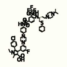 CCn1c(C)c(C(=O)O)c(-c2cc(F)cc(N3CCN(c4ccc(NS(=O)(=O)c5ccc(N[C@H](CCN6CCN(C(C)C)CC6)CSc6ccccc6)c(S(=O)(=O)C(F)(F)F)c5)cc4)CC3)c2)c1-c1ccc(Cl)cc1